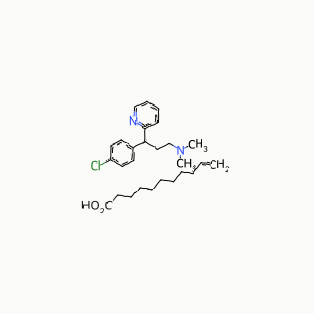 C=CCCCCCCCCC(=O)O.CN(C)CCC(c1ccc(Cl)cc1)c1ccccn1